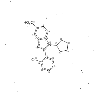 O=C(O)c1ccc2c(c1)nc(-c1ccccc1Cl)n2C1CCCC1